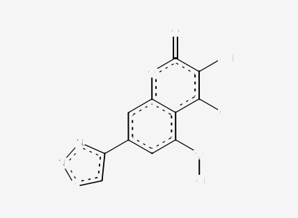 COc1cc(-c2csnn2)cc2oc(=O)c(C)c(C)c12